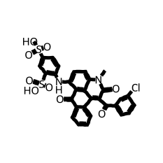 Cn1c(=O)c(C(=O)c2cccc(Cl)c2)c2c3c(c(Nc4ccc(S(=O)(=O)O)cc4S(=O)(=O)O)ccc31)C(=O)c1ccccc1-2